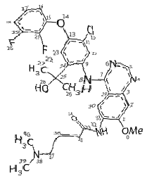 COc1cc2ncnc(Nc3cc(Cl)c(Oc4cccc(F)c4F)cc3C(C)(C)O)c2cc1NC(=O)C=CCN(C)C